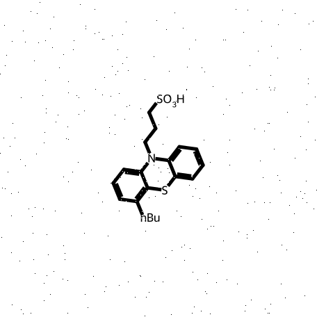 CCCCc1cccc2c1Sc1ccccc1N2CCCS(=O)(=O)O